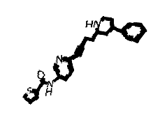 O=C(Nc1ccc(C#CCCC2CC(c3ccccc3)=CCN2)nc1)c1cccs1